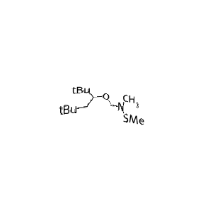 CSN(C)COC(CC(C)(C)C)C(C)(C)C